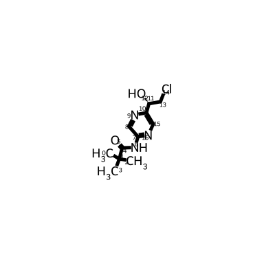 CC(C)(C)C(=O)Nc1cnc([C@H](O)CCl)cn1